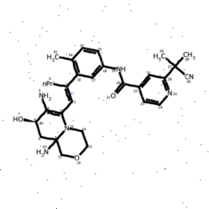 CCC/C(=C\C1=C(N)[C@H](O)CC2(N)COCCN12)c1cc(NC(=O)c2ccnc(C(C)(C)C#N)c2)ccc1C